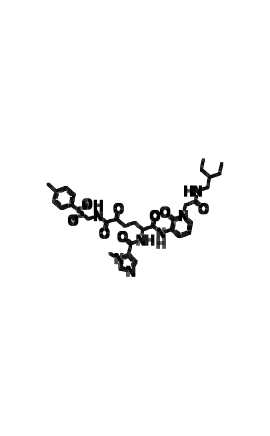 CCC(CC)CNC(=O)Cn1cccc(NC(=O)C(CCC(=O)C(=O)NCS(=O)(=O)c2ccc(C)cc2)NC(=O)c2cncn2C)c1=O